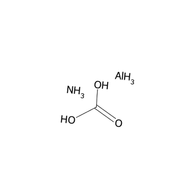 N.O=C(O)O.[AlH3]